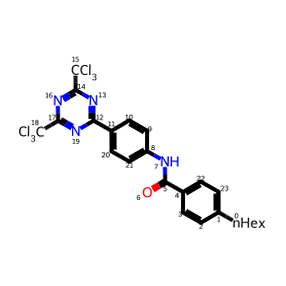 CCCCCCc1ccc(C(=O)Nc2ccc(-c3nc(C(Cl)(Cl)Cl)nc(C(Cl)(Cl)Cl)n3)cc2)cc1